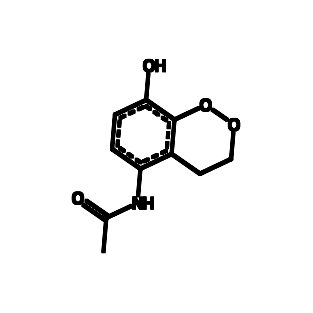 CC(=O)Nc1ccc(O)c2c1CCOO2